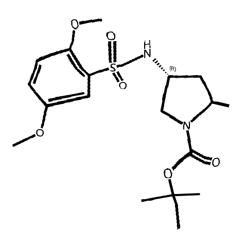 COc1ccc(OC)c(S(=O)(=O)N[C@@H]2CC(C)N(C(=O)OC(C)(C)C)C2)c1